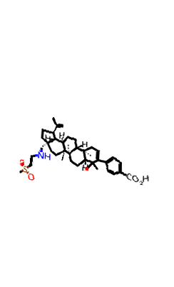 C=C(C)[C@@H]1CC[C@]2(CNCCS(C)(=O)=O)CC[C@]3(C)[C@H](CC[C@@H]4[C@@]5(C)CC=C(c6ccc(C(=O)O)cc6)C(C)(C)[C@@H]5CC[C@]43C)[C@@H]12